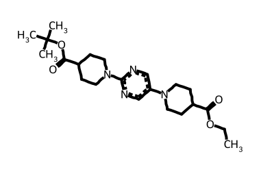 CCOC(=O)C1CCN(c2cnc(N3CCC(C(=O)OC(C)(C)C)CC3)nc2)CC1